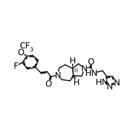 O=C(C=Cc1ccc(OC(F)(F)F)c(F)c1)N1CC[C@@H]2CN(C(=O)NCc3cnn[nH]3)C[C@@H]2CC1